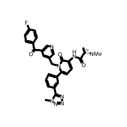 CN[C@@H](C)C(=O)Nc1ccc(-c2cccc(-c3nnnn3C)c2)n(Cc2cncc(C(=O)c3ccc(F)cc3)c2)c1=O